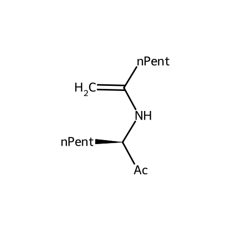 C=C(CCCCC)N[C@H](CCCCC)C(C)=O